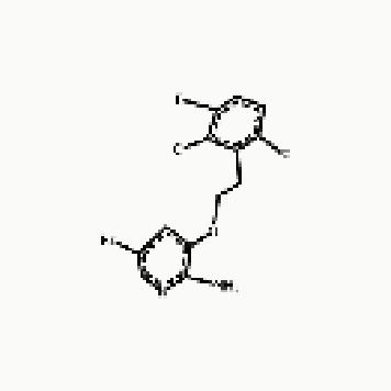 Nc1ncc(Br)cc1OCCc1c(F)ccc(F)c1Cl